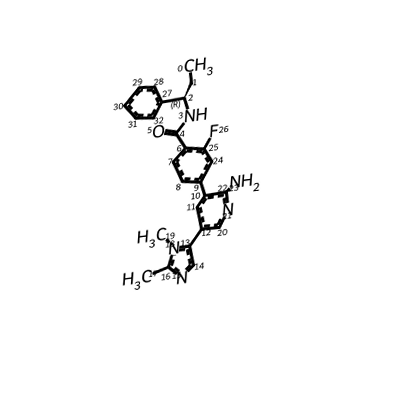 CC[C@@H](NC(=O)c1ccc(-c2cc(-c3cnc(C)n3C)cnc2N)cc1F)c1ccccc1